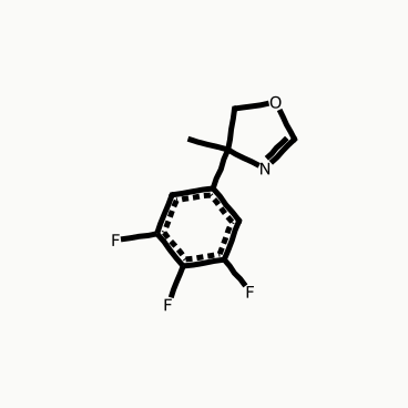 CC1(c2cc(F)c(F)c(F)c2)COC=N1